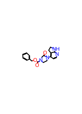 O=C(OCc1ccccc1)N1CCN(c2ccnc3c2CCN3)C(=O)C1